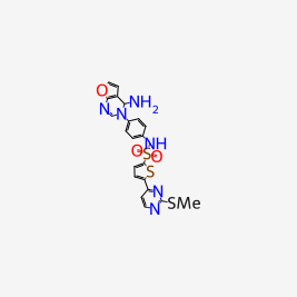 CSc1nccc(-c2ccc(S(=O)(=O)Nc3ccc(N4C=Nc5occc5C4N)cc3)s2)n1